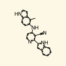 Cc1c(Nc2ccnc(-c3cc4ccccc4[nH]3)c2C#N)ccc2[nH]ccc12